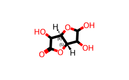 O=C1O[C@H]2C(O)C(O)O[C@@H]2C1O